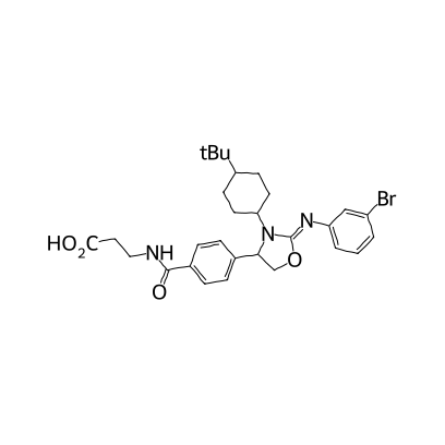 CC(C)(C)C1CCC(N2/C(=N/c3cccc(Br)c3)OCC2c2ccc(C(=O)NCCC(=O)O)cc2)CC1